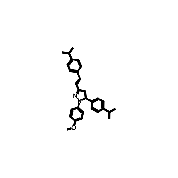 COc1ccc(N2N=C(C=Cc3ccc(C(C)C)cc3)CC2c2ccc(C(C)C)cc2)cc1